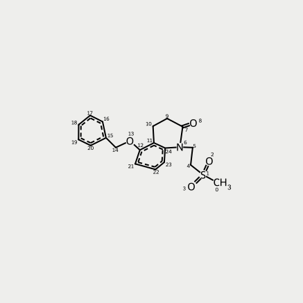 CS(=O)(=O)CCN1C(=O)CCc2c(OCc3ccccc3)cccc21